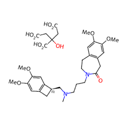 COc1cc2c(cc1OC)CC(=O)N(CCCN(C)C[C@H]1Cc3cc(OC)c(OC)cc31)CC2.O=C(O)CC(O)(CC(=O)O)C(=O)O